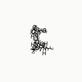 CCCCNC(=O)C(C)CC(O)C(CC(CNC(=O)c1cccc(OC)c1OCCCOC)C(C)C)NC(=O)OC(C)(C)C